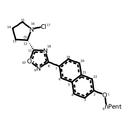 CCCCCOc1ccc2cc(-c3noc([C@@H]4CCCN4Cl)n3)ccc2c1